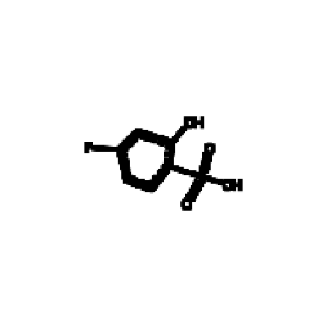 O=S(=O)(O)c1ccc(F)cc1O